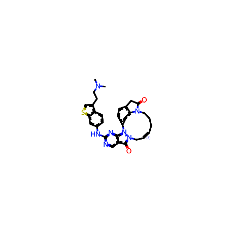 CN(C)CCc1csc2cc(Nc3ncc4c(=O)n5n(c4n3)-c3ccc4c(c3)N(CCC/C=C\C5)C(=O)C4)ccc12